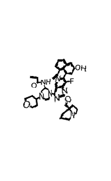 C#Cc1cccc2cc(O)cc(-c3ncc4c(N5CCN(C6CCOCC6)C[C@@H](NC(=O)C=C)C5)nc(OCC56CCCN5CCC6)nc4c3F)c12